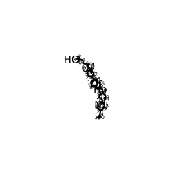 CC(C)(O)CCCS(=O)(=O)N1CC=C(c2ccc3nc(OC4CCN(c5ncc(C6CC6)cn5)CC4)sc3c2)CC1